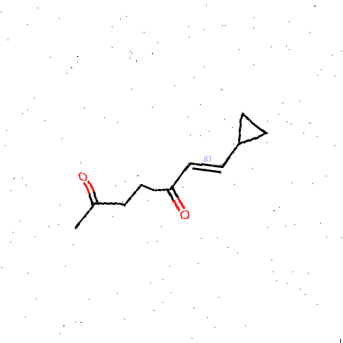 CC(=O)CCC(=O)/C=C/C1CC1